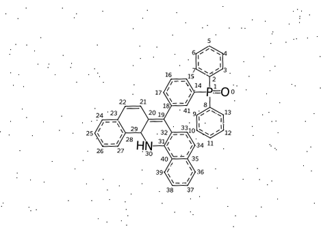 O=P(c1ccccc1)(c1ccccc1)c1cccc(C2=C3C=Cc4ccccc4C3Nc3c2ccc2ccccc32)c1